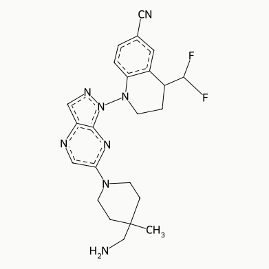 CC1(CN)CCN(c2cnc3cnn(N4CCC(C(F)F)c5cc(C#N)ccc54)c3n2)CC1